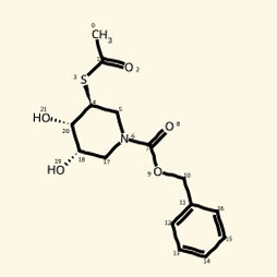 CC(=O)S[C@H]1CN(C(=O)OCc2ccccc2)C[C@H](O)[C@@H]1O